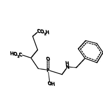 O=C(O)CCC(CP(=O)(O)CNCc1ccccc1)C(=O)O